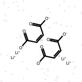 O=C([O-])/C=C\C(=O)[O-].O=C([O-])/C=C\C(=O)[O-].[Li+].[Li+].[Li+].[Li+]